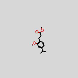 COC(=O)CCc1ccc(C(C)C)cc1OC